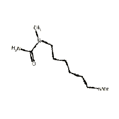 CNCCCCCCN(C)C(N)=O